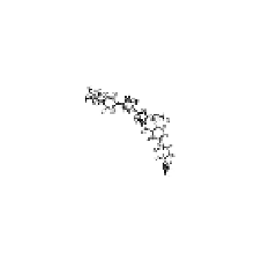 [C-]#[N+]C1CCN(c2cccc(Cn3nc(-c4nc(-c5ccc(OC(F)(F)F)cc5)no4)cc3C)c2)CC1